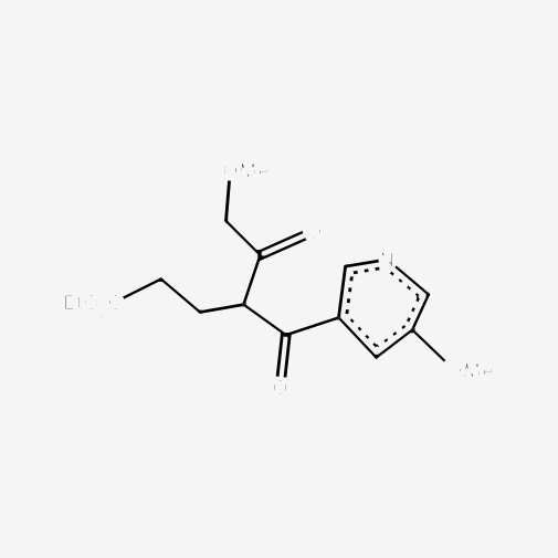 CCOC(=O)CCC(C(=O)COC)C(=O)c1cncc(OC)c1